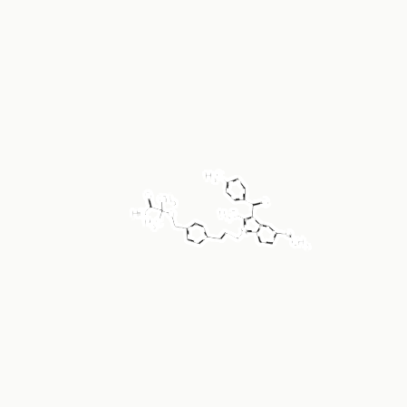 COc1ccc2c(c1)c(C(=O)c1ccc(C)cc1)c(C)n2C/C=C/c1ccc(COC(C)(C)C(=O)O)cc1